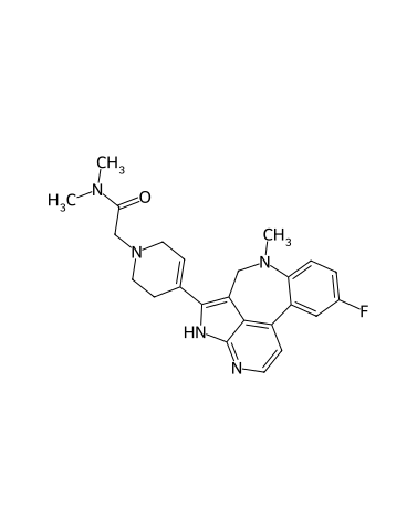 CN(C)C(=O)CN1CC=C(c2[nH]c3nccc4c3c2CN(C)c2ccc(F)cc2-4)CC1